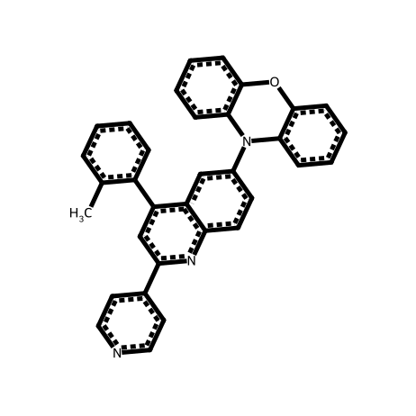 Cc1ccccc1-c1cc(-c2ccncc2)nc2ccc(N3c4ccccc4Oc4ccccc43)cc12